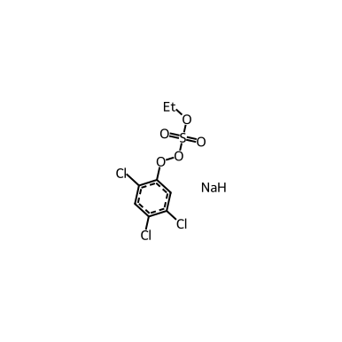 CCOS(=O)(=O)OOc1cc(Cl)c(Cl)cc1Cl.[NaH]